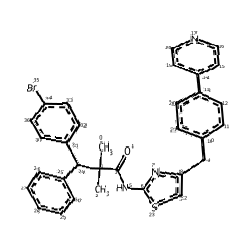 CC(C)(C(=O)Nc1nc(Cc2ccc(-c3ccncc3)cc2)cs1)C(c1ccccc1)c1ccc(Br)cc1